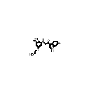 COc1cc(NCC(=O)c2c[nH]c3cc(F)ccc23)cc(OCCO)c1